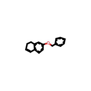 [C]1=CCCc2cc(OCc3ccccc3)ccc21